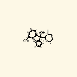 OC(C1=NCCCN1)(c1cccc(Cl)n1)c1cccs1